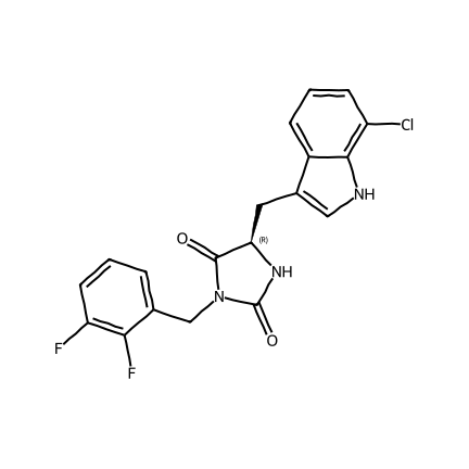 O=C1N[C@H](Cc2c[nH]c3c(Cl)cccc23)C(=O)N1Cc1cccc(F)c1F